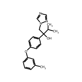 Cc1cccc(Oc2ccc(C(O)(Cn3cncn3)C(C)C)cc2)c1